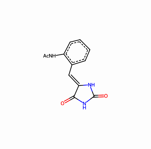 CC(=O)Nc1ccccc1C=C1NC(=O)NC1=O